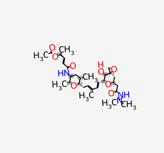 CC(=O)O[C@@H](C)C=CC(=O)N[C@@H]1C[C@H](C)[C@H](CC=C(C)C=C[C@H]2O[C@H](CC(=O)NN(C)C)C[C@@]3(CO3)[C@@H]2O)O[C@@H]1C